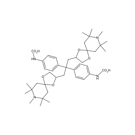 CN1C(C)(C)CC2(CC1(C)C)OCC(CC(CC1COC3(CC(C)(C)N(C)C(C)(C)C3)O1)(c1ccc(NC(=O)O)cc1)c1ccc(NC(=O)O)cc1)O2